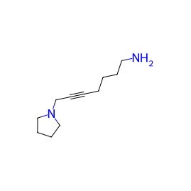 NCCCCC#CCN1CCCC1